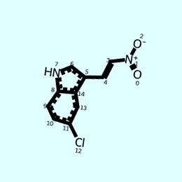 O=[N+]([O-])C=Cc1c[nH]c2ccc(Cl)cc12